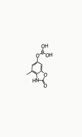 Cc1cc(OB(O)O)cc2oc(=O)[nH]c12